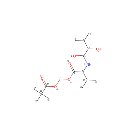 CC(C)C(O)C(=O)NC(C(=O)OCOC(=O)C(C)(C)C)C(C)C